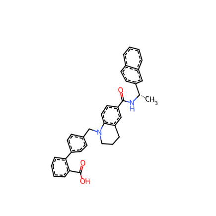 C[C@H](NC(=O)c1ccc2c(c1)CCCN2Cc1ccc(-c2ccccc2C(=O)O)cc1)c1ccc2ccccc2c1